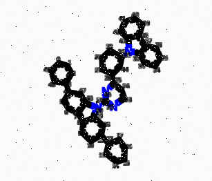 c1ccc(-c2ccc3c4ccc(-c5ccccc5)cc4n(-c4nccc(-c5cccc(-n6c7ccccc7c7ccccc76)c5)n4)c3c2)cc1